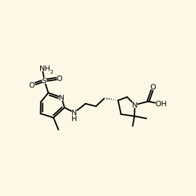 Cc1ccc(S(N)(=O)=O)nc1NCCC[C@@H]1CN(C(=O)O)C(C)(C)C1